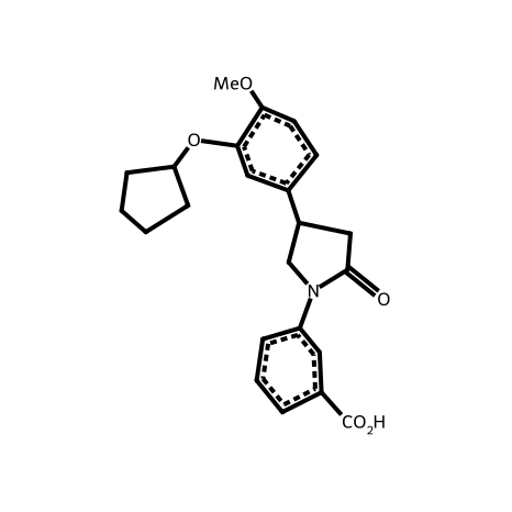 COc1ccc(C2CC(=O)N(c3cccc(C(=O)O)c3)C2)cc1OC1CCCC1